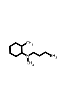 BCCCN(C)C1CCCCC1C